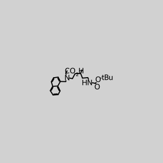 CC(CCNC(=O)OC(C)(C)C)CCN(CC(=O)O)Cc1cccc2ccccc12